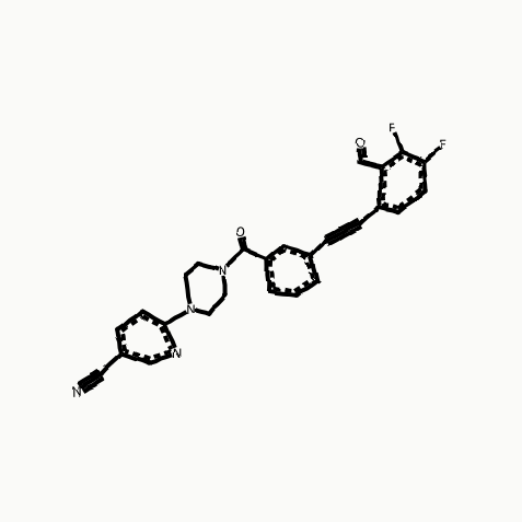 N#Cc1ccc(N2CCN(C(=O)c3cccc(C#Cc4ccc(F)c(F)c4C=O)c3)CC2)nc1